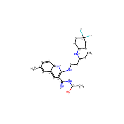 CCC(CCNc1nc2ccc(C)cc2cc1C(=N)NC(C)O)NC1CCC(F)(F)CC1